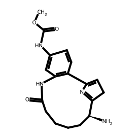 COC(=O)Nc1ccc2c(c1)NC(=O)CCCC[C@H](N)C1=NC2=CC1